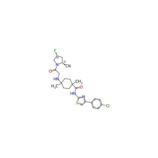 CC1(NCC(=O)N2C[C@@H](F)C[C@H]2C#N)CCC(C)(C(=O)Nc2nc(-c3ccc(Cl)cc3)cs2)CC1